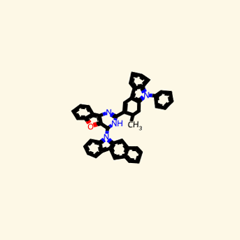 CC1Cc2c(c3ccccc3n2-c2ccccc2)C=C1C1=Nc2c(oc3ccccc23)C(n2c3ccccc3c3cc4ccccc4cc32)N1